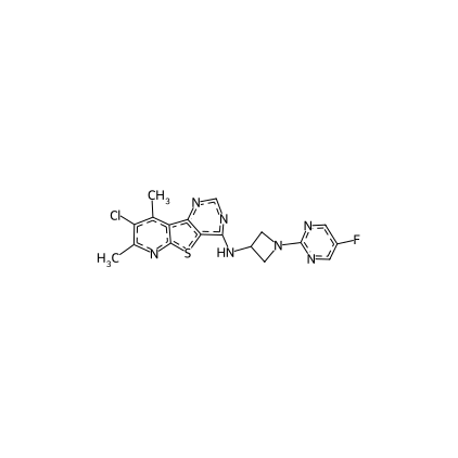 Cc1nc2sc3c(NC4CN(c5ncc(F)cn5)C4)ncnc3c2c(C)c1Cl